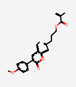 C=C(/C=c1/oc(=O)c(-c2ccc(OC)cc2)c/c1=C/C)CCCOC(=O)C(=C)C